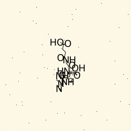 C=NN(CN)NC(=O)C[C@@H](NC(=O)CNC(=O)CCC(=O)O)C(=O)O